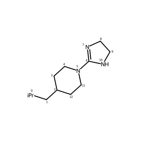 CC(C)CC1CCN(C2=NCCN2)CC1